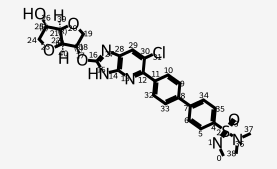 CN=S(=O)(c1ccc(-c2ccc(-c3nc4[nH]c(O[C@@H]5CO[C@H]6[C@@H]5OC[C@H]6O)nc4cc3Cl)cc2)cc1)N(C)C